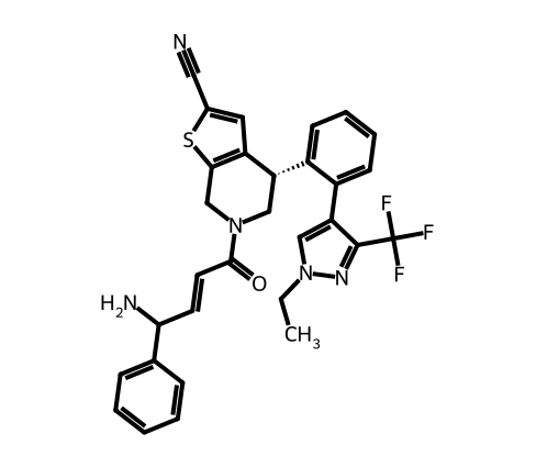 CCn1cc(-c2ccccc2[C@@H]2CN(C(=O)/C=C/C(N)c3ccccc3)Cc3sc(C#N)cc32)c(C(F)(F)F)n1